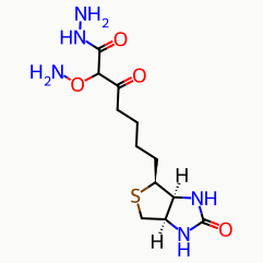 NNC(=O)C(ON)C(=O)CCCC[C@@H]1SC[C@@H]2NC(=O)N[C@@H]21